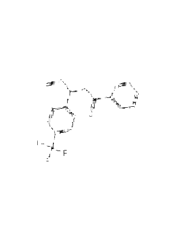 C=CC(CC(=O)c1ccccc1)c1ccc(C(F)(F)F)cc1